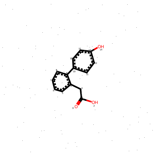 O=C(O)Cc1ccccc1-c1ccc(O)cc1